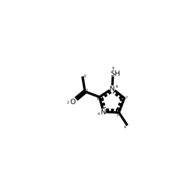 CC(=O)c1nc(C)cn1S